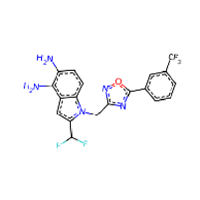 Nc1ccc2c(cc(C(F)F)n2Cc2noc(-c3cccc(C(F)(F)F)c3)n2)c1N